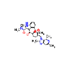 COC(=O)c1cccc2[nH]c(C(=O)N(C)C)c(C(=O)c3ccc(Cn4c(C)nc5cc(C)nc(C)c54)cc3)c12